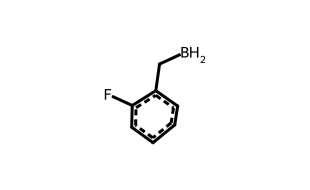 BCc1ccccc1F